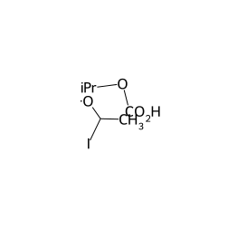 CC(C)OC(=O)O.CC([O])I